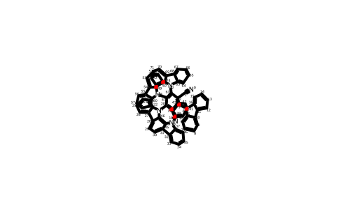 N#Cc1c(-n2c3ccccc3c3ccccc32)c(C#N)c(-n2c3ccccc3c3ccc4c5ccccc5n(-c5ccccc5)c4c32)c(-n2c3ccccc3c3ccccc32)c1-n1c2ccccc2c2ccccc21